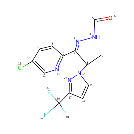 CC(C(=NNC=O)c1ccc(Cl)cn1)n1ccc(C(F)(F)F)n1